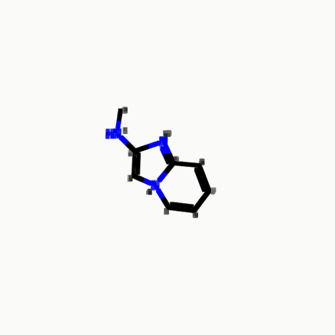 CNc1cn2ccccc2n1